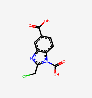 O=C(O)c1ccc2c(c1)nc(CCl)n2C(=O)O